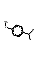 CC([O])c1ccc(OC(C)(C)C)cc1